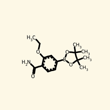 CCOc1cc(B2OC(C)(C)C(C)(C)O2)ccc1C(N)=O